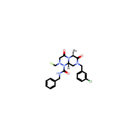 CCC(C)[C@H]1C(=O)N(Cc2cccc(Cl)c2)C[C@H]2N1C(=O)CN(CF)N2C(=O)NCc1ccccc1